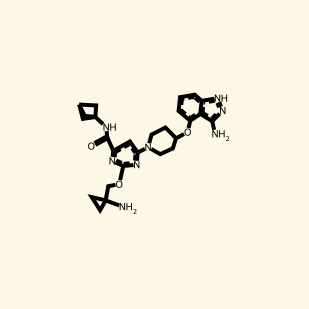 Nc1n[nH]c2cccc(OC3CCN(c4cc(C(=O)NC56CC(C5)C6)nc(OCC5(N)CC5)n4)CC3)c12